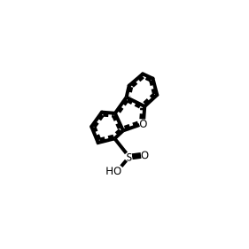 O=S(O)c1cccc2c1oc1ccccc12